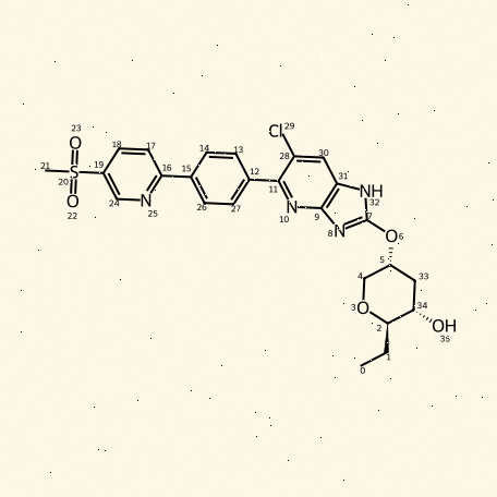 CC[C@H]1OC[C@H](Oc2nc3nc(-c4ccc(-c5ccc(S(C)(=O)=O)cn5)cc4)c(Cl)cc3[nH]2)C[C@@H]1O